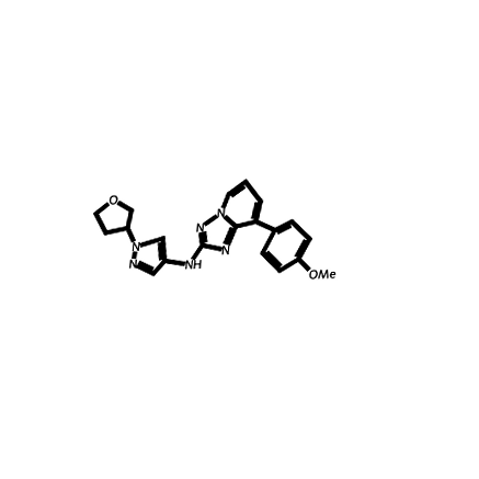 COc1ccc(-c2cccn3nc(Nc4cnn(C5CCOC5)c4)nc23)cc1